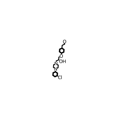 O=CCc1ccc(OCC(O)CN2CCN(c3cccc(Cl)c3)CC2)cc1